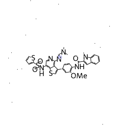 COc1cc(-c2csc3c(NS(=O)(=O)c4cccs4)cnc(/N=C/N(C)C)c23)ccc1NC(=O)c1cc2ccccc2n1C